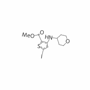 COC(=O)c1sc(I)cc1NC1CCOCC1